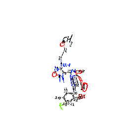 COCCNc1nonc1-c1noc(=O)n1-c1ccc(F)cc1Br